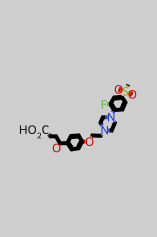 CS(=O)(=O)c1ccc(N2CCN(CCOc3ccc(C(=O)CCC(=O)O)cc3)CC2)c(F)c1